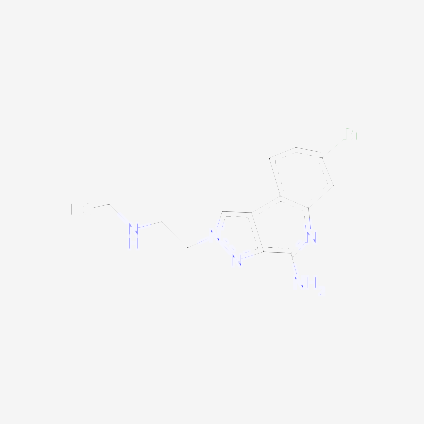 CCNCCn1cc2c(n1)c(N)nc1cc(Br)ccc12